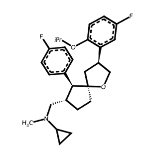 CC(C)Oc1ccc(F)cc1[C@H]1CO[C@]2(CC[C@H](CN(C)C3CC3)[C@H]2c2ccc(F)cc2)C1